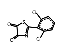 O=C1N=C(c2c(Cl)cccc2Cl)SC1=O